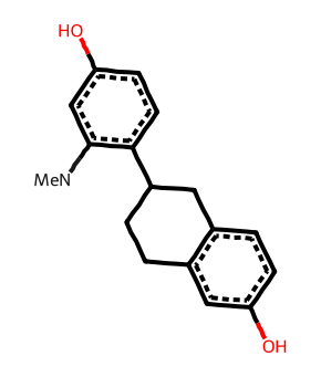 CNc1cc(O)ccc1C1CCc2cc(O)ccc2C1